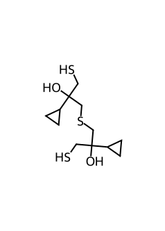 OC(CS)(CSCC(O)(CS)C1CC1)C1CC1